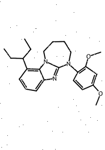 CCC(CC)c1cccc2nc3n(c12)CCCCN3c1ccc(OC)cc1OC